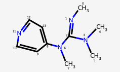 CN=C(N(C)C)N(C)c1ccncc1